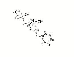 COC(=O)C[C@@H](N)COCc1ccccc1.Cl